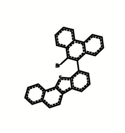 Brc1c(-c2cccc3c2sc2c4ccccc4ccc32)c2ccccc2c2ccccc12